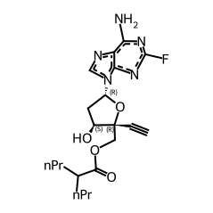 C#C[C@]1(COC(=O)C(CCC)CCC)O[C@@H](n2cnc3c(N)nc(F)nc32)C[C@@H]1O